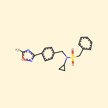 O=S(=O)(Cc1ccccc1)N(Cc1ccc(-c2noc(C(F)(F)F)n2)cc1)C1CC1